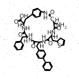 N[C@@H]1CC(=O)Nc2ccc(cc2)C[C@@H](C(=O)O)NC(=O)[C@@H](Cc2ccccc2)NC(=O)[C@H](Cc2ccc(-c3ccccc3)cc2)NC(=O)[C@@H](CC2CC=CS2)NC1=O